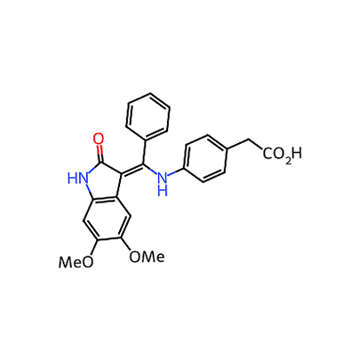 COc1cc2c(cc1OC)/C(=C(\Nc1ccc(CC(=O)O)cc1)c1ccccc1)C(=O)N2